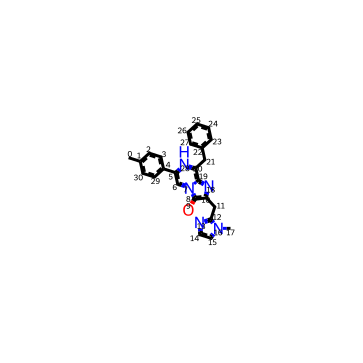 Cc1ccc(-c2cn3c(=O)c(Cc4nccn4C)nc-3c(Cc3ccccc3)[nH]2)cc1